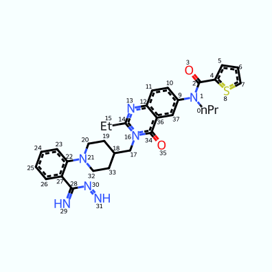 CCCN(C(=O)c1cccs1)c1ccc2nc(CC)n(CC3CCN(c4ccccc4C(=N)N=N)CC3)c(=O)c2c1